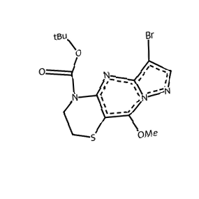 COc1c2c(nc3c(Br)cnn13)N(C(=O)OC(C)(C)C)CCS2